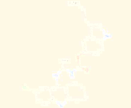 CCCCCCC(NC(=O)Oc1ccc2[nH]cc(CCNC(C)=O)c2c1)Nc1c2c(nc3ccc(Cl)cc13)CCCC2